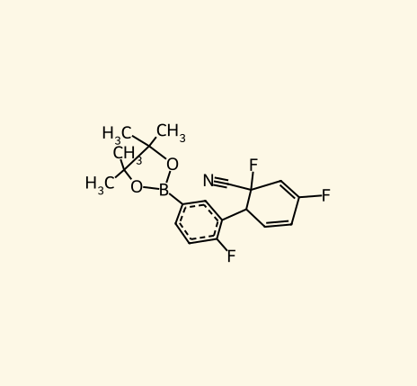 CC1(C)OB(c2ccc(F)c(C3C=CC(F)=CC3(F)C#N)c2)OC1(C)C